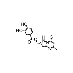 CC1=NC2=CN(COC(=O)c3ccc(O)c(O)c3)NN2C([S])=C1